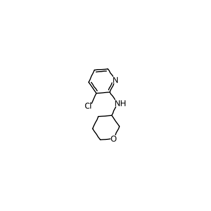 Clc1cccnc1NC1CCCOC1